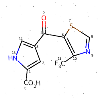 O=C(O)c1cc(C(=O)c2scnc2C(F)(F)F)c[nH]1